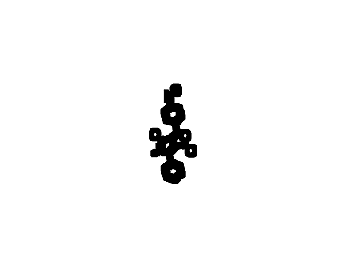 CN1C(=O)C2=C(c3ccc(N=O)cc3)OC(=O)C2=C1c1ccccc1